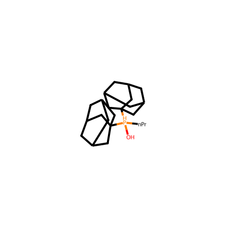 CCC[PH](O)(C12CC3CC(CC(C3)C1)C2)C12CC3CC(CC(C3)C1)C2